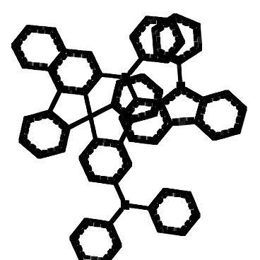 c1ccc(N(c2ccccc2)c2ccc3c(c2)-c2ccccc2C32c3ccccc3-c3c2c(N(c2ccccc2)c2cccc4c5ccccc5n(-c5ccccc5)c24)cc2ccccc32)cc1